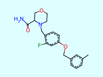 Cc1cccc(COc2ccc(CN3CCOCC3C(N)=O)c(F)c2)c1